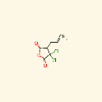 C=CCC1C(=O)OC(=O)C1(Cl)Cl